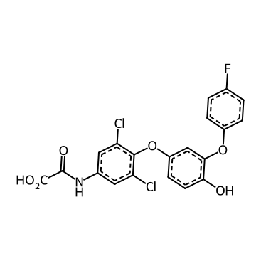 O=C(O)C(=O)Nc1cc(Cl)c(Oc2ccc(O)c(Oc3ccc(F)cc3)c2)c(Cl)c1